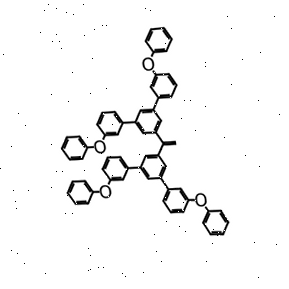 C=C(c1cc(-c2cccc(Oc3ccccc3)c2)cc(-c2cccc(Oc3ccccc3)c2)c1)c1cc(-c2cccc(Oc3ccccc3)c2)cc(-c2cccc(Oc3ccccc3)c2)c1